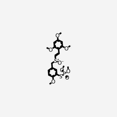 COc1cc(OC)c(/C=C/[S+]([O-])Cc2ccc(OC)c(SP(=O)(OC)OC)c2)c(OC)c1